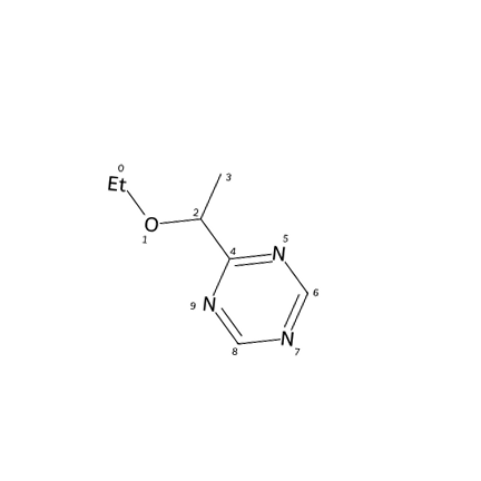 CCOC(C)c1ncncn1